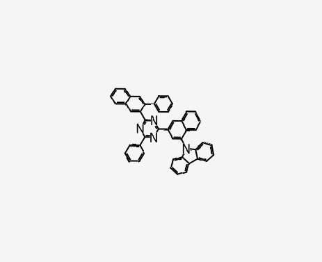 c1ccc(-c2nc(-c3cc(-n4c5ccccc5c5ccccc54)c4ccccc4c3)nc(-c3cc4ccccc4cc3-c3ccccc3)n2)cc1